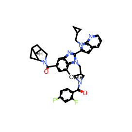 COc1cc(C(=O)N2CC3CC4CC2[C@H]43)cc2nc(-c3cc4cccnc4n3CC3CC3)n(CC3CN(C(=O)c4ccc(F)cc4F)C3)c12